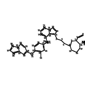 C=CC1CC(CCCc2ccn3ncnc(Nc4ccc(Oc5ccn6ncnc6c5)c(C)c4)c23)CCC[C@H]1N